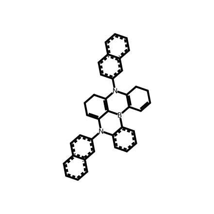 C1=CC2=C(CC1)N(c1ccc3ccccc3c1)C1=C3B2c2ccccc2N(c2ccc4ccccc4c2)C3=CCC1